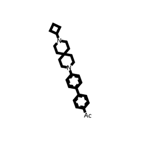 CC(=O)c1ccc(-c2ccc(N3CCC4(CC3)CCN(C3CCC3)CC4)cc2)cc1